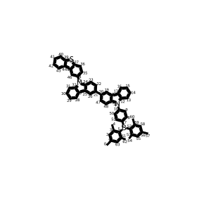 Cc1cc(C)c(B(c2ccc(-n3c4ccccc4c4cc(-c5ccc6c(c5)c5ccccc5n6-c5ccc6sc7ccccc7c6c5)ccc43)cc2)c2c(C)cc(C)cc2C)c(C)c1